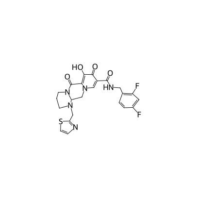 O=C(NCc1ccc(F)cc1F)c1cn2c(c(O)c1=O)C(=O)N1CCCN(Cc3nccs3)C1C2